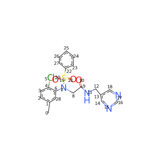 Cc1ccc(Cl)c(N(CC(=O)NCc2cncnc2)S(=O)(=O)c2ccccc2)c1